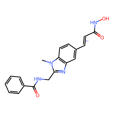 Cn1c(CNC(=O)c2ccccc2)nc2cc(/C=C/C(=O)NO)ccc21